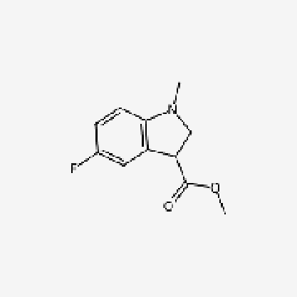 COC(=O)C1CN(C)c2ccc(F)cc21